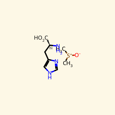 C[S+](C)[O-].N[C@@H](Cc1c[nH]cn1)C(=O)O